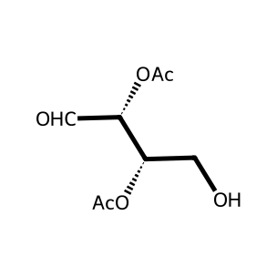 CC(=O)O[C@@H](C=O)[C@H](CO)OC(C)=O